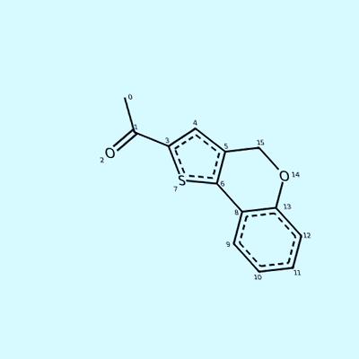 CC(=O)c1cc2c(s1)-c1ccccc1OC2